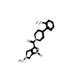 CCn1nc(C(=O)N2CCC(c3ccccc3C(F)(F)F)CC2)c2c1CN(C)C2